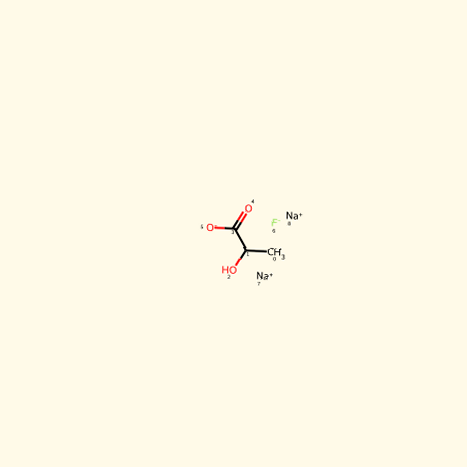 CC(O)C(=O)[O-].[F-].[Na+].[Na+]